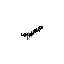 O=C(Nc1ccc(-c2nc3cc(NC(=O)C4CCC(CI)CC4)ncc3[nH]2)cc1)C1CCC2CCC2C1